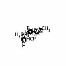 Cc1cn2nc(-c3cc(F)c4nc(N(C)C5CCNCC5)sc4c3)ccc2n1.Cl